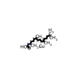 C/C(=C\C(=O)O)CCC[C@H](C)CCC[C@H](C)CCCC(C)C.[Cu]